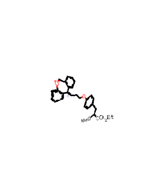 CCOC(=O)C(Cc1ccc(OCC/C=C2\c3ccccc3COc3ccccc32)cc1)OC